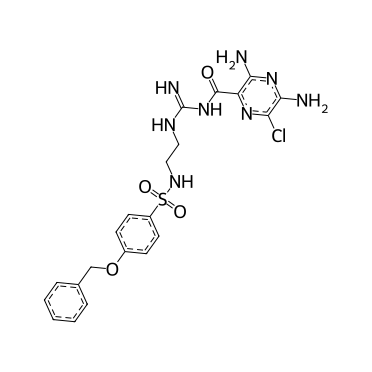 N=C(NCCNS(=O)(=O)c1ccc(OCc2ccccc2)cc1)NC(=O)c1nc(Cl)c(N)nc1N